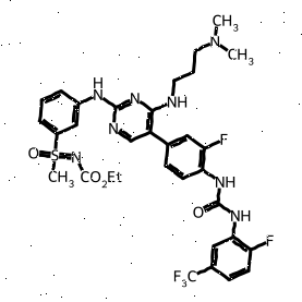 CCOC(=O)N=S(C)(=O)c1cccc(Nc2ncc(-c3ccc(NC(=O)Nc4cc(C(F)(F)F)ccc4F)c(F)c3)c(NCCCN(C)C)n2)c1